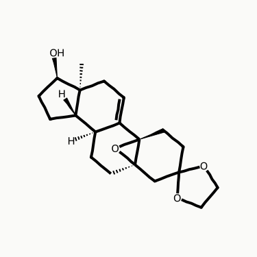 C[C@]12CC=C3[C@@H](CC[C@@]45CC6(CC[C@@]34O5)OCCO6)[C@@H]1CC[C@H]2O